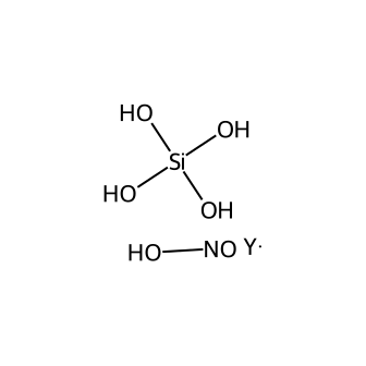 O=NO.O[Si](O)(O)O.[Y]